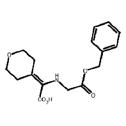 O=C(CNC(C(=O)O)=C1CCOCC1)OCc1ccccc1